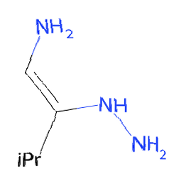 CC(C)/C(=C/N)NN